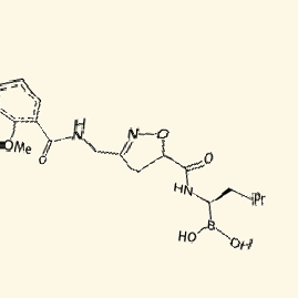 COc1ccccc1C(=O)NCC1=NOC(C(=O)N[C@@H](CC(C)C)B(O)O)C1